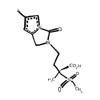 C[C@@](CCN1Cc2cc(I)cn2C1=O)(C(=O)O)S(C)(=O)=O